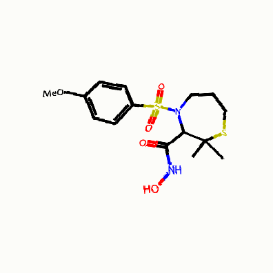 COc1ccc(S(=O)(=O)N2CCCSC(C)(C)C2C(=O)NO)cc1